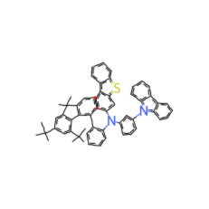 CC(C)(C)c1cc(C(C)(C)C)c2c(c1)C(C)(C)c1cccc(-c3ccccc3N(c3cccc(-n4c5ccccc5c5ccccc54)c3)c3ccc4c(c3)sc3ccccc34)c1-2